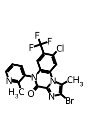 Cc1ncccc1-n1c(=O)c2nc(Br)c(C)n2c2cc(Cl)c(C(F)(F)F)cc21